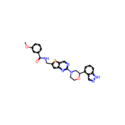 COc1cccc(C(=O)NCc2cc3nc(N4CCOC(c5cccc6[nH]ncc56)C4)ncc3s2)c1